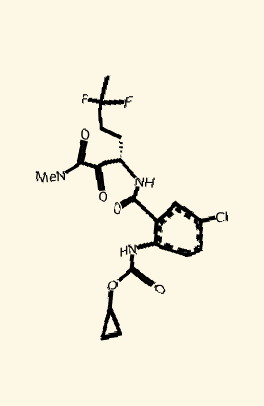 CNC(=O)C(=O)[C@H](CCC(C)(F)F)NC(=O)c1cc(Cl)ccc1NC(=O)OC1CC1